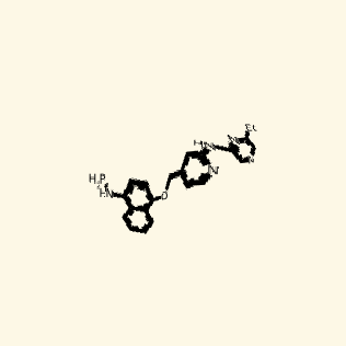 CCc1cncc(Nc2cc(COc3ccc(NP)c4ccccc34)ccn2)n1